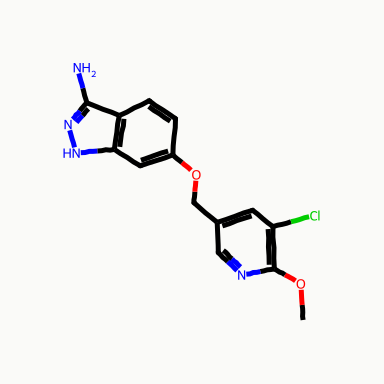 COc1ncc(COc2ccc3c(N)n[nH]c3c2)cc1Cl